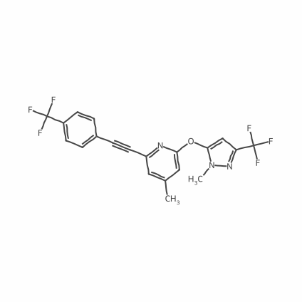 Cc1cc(C#Cc2ccc(C(F)(F)F)cc2)nc(Oc2cc(C(F)(F)F)nn2C)c1